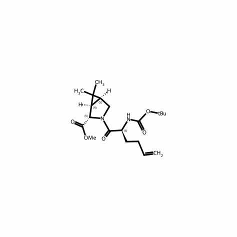 C=CCC[C@H](NC(=O)OC(C)(C)C)C(=O)N1C[C@H]2[C@@H]([C@H]1C(=O)OC)C2(C)C